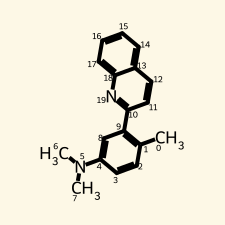 Cc1ccc(N(C)C)cc1-c1ccc2ccccc2n1